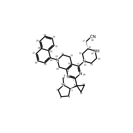 CN1CCC[C@@H]1C1(c2nc3c(c(N4CCN[C@@H](CC#N)C4)n2)CCN(c2cccc4ccccc24)C3)CC1